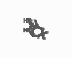 CC1(C)CC2CC(C)(C1)C(=N)N2